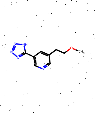 COCCc1cncc(-c2nnn[nH]2)c1